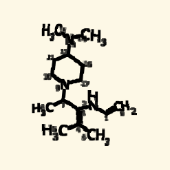 C=CNC(=C(C)C)C(C)N1CCC(N(C)C)CC1